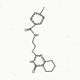 O=C(NCCSc1nc2c(c(=O)[nH]1)CCCC2)c1ccc(F)cc1